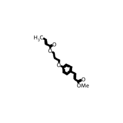 CC=CC(=O)OCCCOc1ccc(/C=C/C(=O)OC)cc1